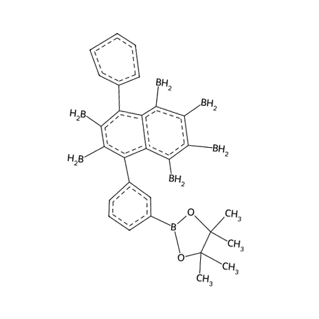 Bc1c(B)c(B)c2c(-c3cccc(B4OC(C)(C)C(C)(C)O4)c3)c(B)c(B)c(-c3ccccc3)c2c1B